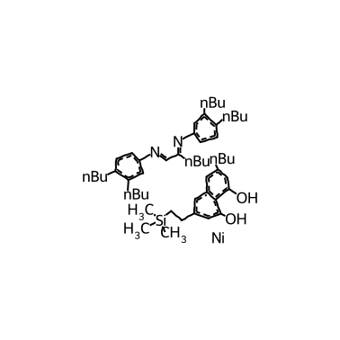 CCCCC(C=Nc1ccc(CCCC)c(CCCC)c1)=Nc1ccc(CCCC)c(CCCC)c1.CCCCc1cc(O)c2c(O)cc(CC[Si](C)(C)C)cc2c1.[Ni]